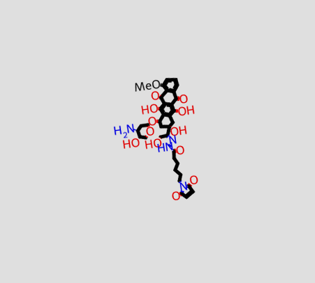 COc1cccc2c1C(=O)c1c(O)c3c(c(O)c1C2=O)CC(O)(/C(CO)=N/NC(=O)CCCCCN1C(=O)C=CC1=O)CC3O[C@H]1C[C@@H](N)[C@H](O)CO1